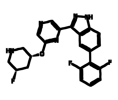 Fc1cccc(F)c1-c1ccc2[nH]nc(-c3cncc(O[C@H]4CNC[C@@H](F)C4)n3)c2c1